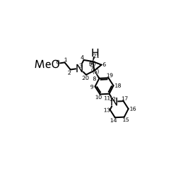 COCCN1C[C@@H]2C[C@]2(c2ccc(N3CCCCC3)cc2)C1